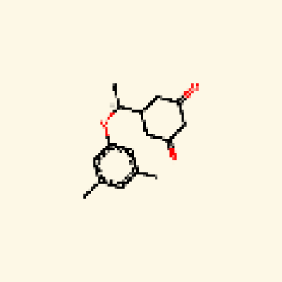 Cc1cc(C)cc(O[C@@H](C)C2CC(=O)CC(=O)C2)c1